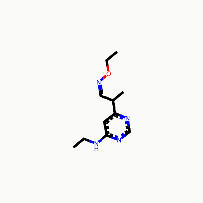 CCNc1cc(C(C)/C=N\OCC)ncn1